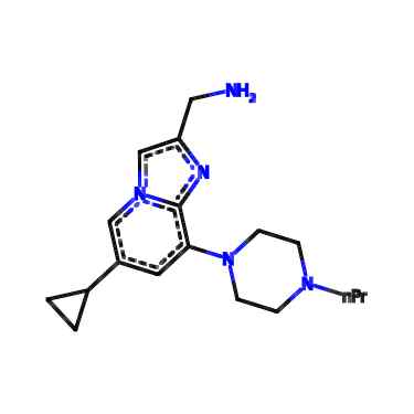 CCCN1CCN(c2cc(C3CC3)cn3cc(CN)nc23)CC1